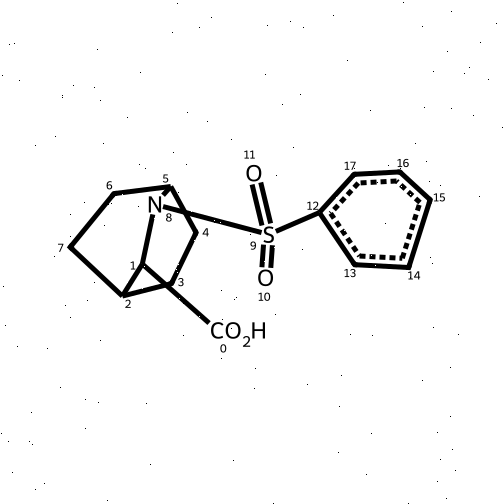 O=C(O)C1C2CCC(CC2)N1S(=O)(=O)c1ccccc1